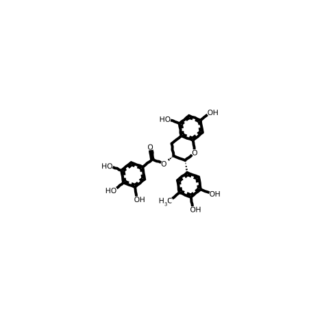 Cc1cc([C@H]2Oc3cc(O)cc(O)c3C[C@H]2OC(=O)c2cc(O)c(O)c(O)c2)cc(O)c1O